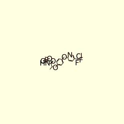 CC(Oc1ccc(Oc2ccc(C(F)(F)Cl)cn2)cc1)C(=O)NS(C)(=O)=O